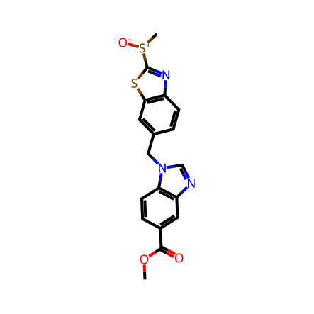 COC(=O)c1ccc2c(c1)ncn2Cc1ccc2nc([S+](C)[O-])sc2c1